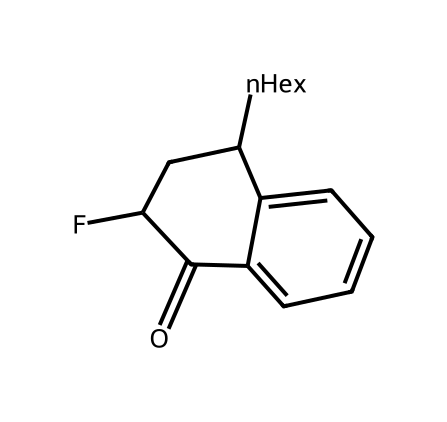 CCCCCCC1CC(F)C(=O)c2ccccc21